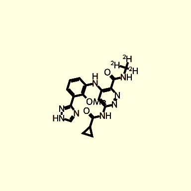 [2H]C([2H])([2H])NC(=O)c1nnc(NC(=O)C2CC2)cc1Nc1cccc(-c2nc[nH]n2)c1OC